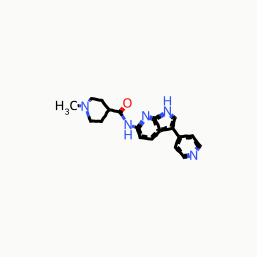 CN1CCC(C(=O)Nc2ccc3c(-c4ccncc4)c[nH]c3n2)CC1